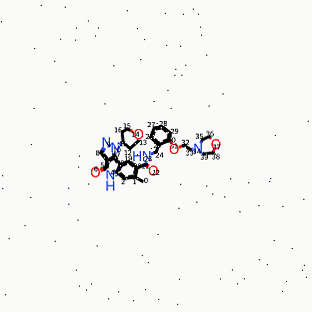 Cc1cc2[nH]c(=O)c3cnn(C4CCOCC4)c3c2cc1C(=O)NCc1ccccc1OCCN1CCOCC1